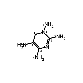 NC1=NC(N)=C(N)CN1N